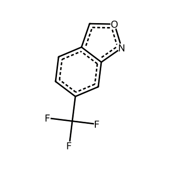 FC(F)(F)c1ccc2conc2c1